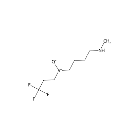 CNCCCC[S+]([O-])CCC(F)(F)F